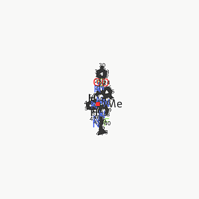 CO[C@H]1C[C@H]2CC[C@@H](C1)N2c1nc(-c2c(C)ccc3c2c(C)nn3S(=O)(=O)c2ccc(C)cc2)nc2c1CN(c1c(F)c(C3CC3)nn1C)CC2